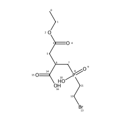 CCOC(=O)CC(CP(=O)(O)CCBr)C(=O)O